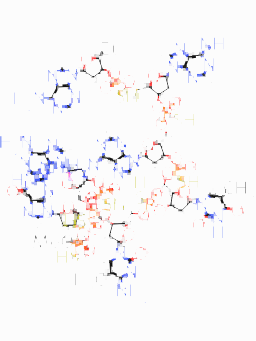 CC[C@H]1O[C@@H](n2cnc3c(N)ncnc32)CC1OP(=O)(S)OC[C@H]1O[C@@H](n2cnc3c(N)ncnc32)CC1OP(=O)(S)OC[C@H]1O[C@@H](n2cnc3c(N)ncnc32)CC1OP(=O)(S)OC[C@H]1O[C@@H](n2cc(C)c(=O)[nH]c2=O)CC1OP(=O)(S)OC[C@H]1O[C@@H](n2cc(C)c(N)nc2=O)CC1OP(=O)(S)OC[C@H]1O[C@@H](n2cnc3c(N)ncnc32)CC1OP(=O)(S)OC[C@H]1O[C@@H](n2cnc3c(=O)[nH]c(N)nc32)CC1OP(=O)(S)OC